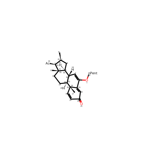 CCCCCOC1=C[C@H]2[C@@H]3C[C@H](C)[C@H](C(C)=O)[C@@]3(C)CC[C@@H]2[C@@]2(C)C=CC(=O)C=C12